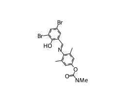 CNC(=O)Oc1cc(C)c(N=Cc2cc(Br)cc(Br)c2O)c(C)c1